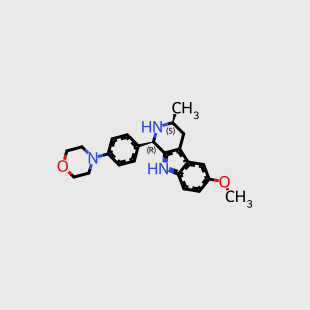 COc1ccc2[nH]c3c(c2c1)C[C@H](C)N[C@@H]3c1ccc(N2CCOCC2)cc1